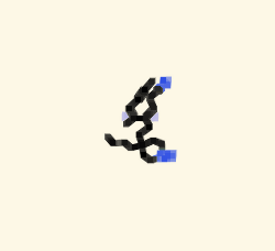 CC#C/C=C(C)\C(=C/CC#N)CCC1(CCCC)CCNCC1